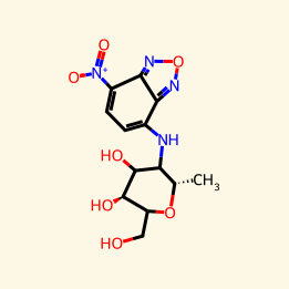 C[C@@H]1OC(CO)[C@@H](O)C(O)C1Nc1ccc([N+](=O)[O-])c2nonc12